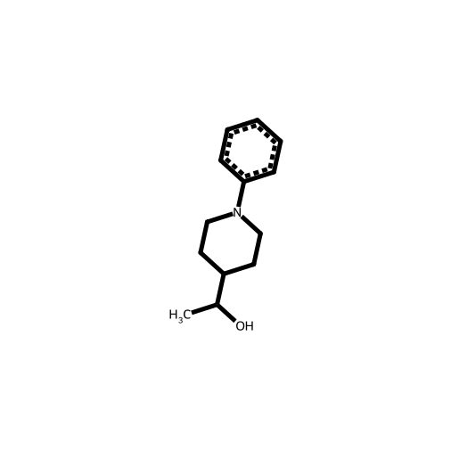 CC(O)C1CCN(c2ccccc2)CC1